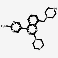 Nc1ncc(-c2nc(N3CCOCC3)nc3c(CN4CCNCC4)cccc23)cn1